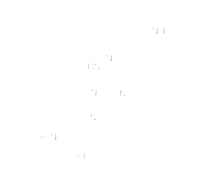 CC1(CN)CCN(c2cnc3c(-c4cccc(N)c4)n[nH]c3n2)CC1